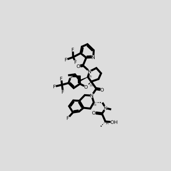 CCC[C@H]1N(C(=O)c2ncccc2C(F)(F)F)CCC[C@@]1(Oc1csc(C(F)(F)F)c1)C(=O)N1Cc2ccc(F)cc2C[C@H]1CN(C)C(=O)[C@@H](C)O